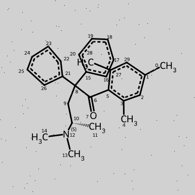 Cc1cc(C)c(C(=O)C(C[C@H](C)N(C)C)(c2ccccc2)c2ccccc2)c(C)c1